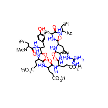 CCC(C)C(NC(=O)C(CCC(=O)O)NC(=O)C(CCC(=O)O)NC(=O)C(CCC(=O)O)NC(=O)C(Cc1ccc(O)cc1)NC(=O)C(CC(C)C)NC)C(=O)NC(CCCNC(=N)N)C(=O)NC(C(=O)NC(CC(C)C)C(C)=O)C(C)C